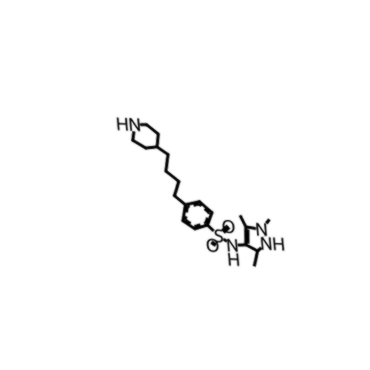 CC1=C(NS(=O)(=O)c2ccc(CCCCC3CCNCC3)cc2)C(C)NN1C